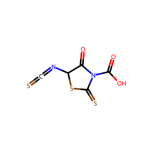 O=C(O)N1C(=O)C(N=C=S)SC1=S